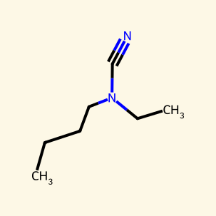 CCCCN(C#N)CC